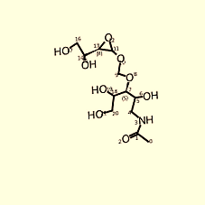 CC(=O)NCC(O)[C@H](OCOC1O[C@@H]1C(O)CO)C(O)CO